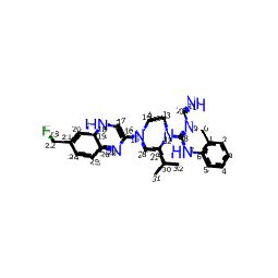 Cc1ccccc1N/C(=N/C=N)N1CCN(C2=CNC3C=C(CF)C=CC3=N2)CC1C(C)C